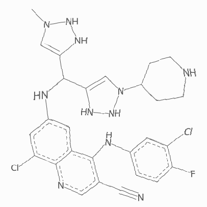 CN1C=C(C(Nc2cc(Cl)c3ncc(C#N)c(Nc4ccc(F)c(Cl)c4)c3c2)C2=CN(C3CCNCC3)NN2)NN1